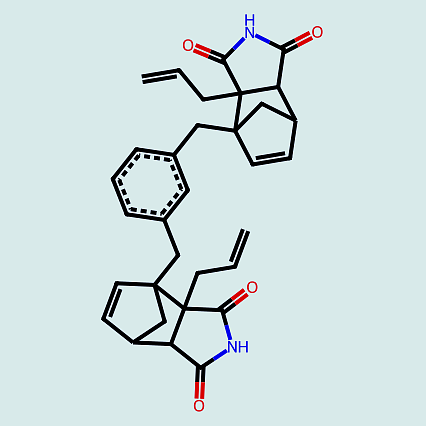 C=CCC12C(=O)NC(=O)C1C1C=CC2(Cc2cccc(CC34C=CC(C3)C3C(=O)NC(=O)C34CC=C)c2)C1